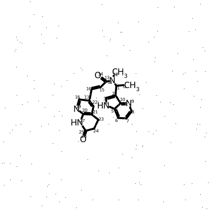 CC(c1c[nH]c2cccnc12)N(C)C(=O)C=Cc1cnc2c(c1)CCC(=O)N2